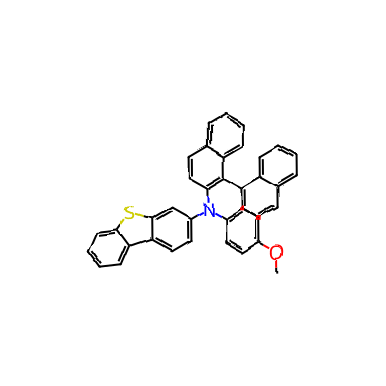 COc1ccc(N(c2ccc3c(c2)sc2ccccc23)c2ccc3ccccc3c2-c2cccc3ccccc23)cc1